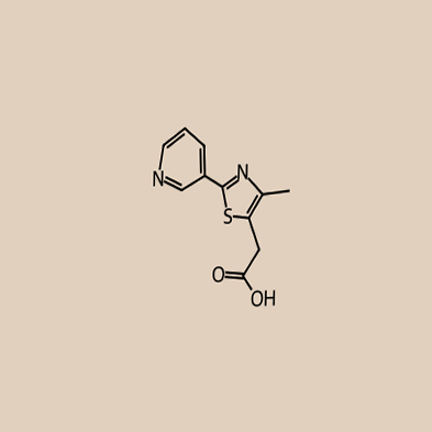 Cc1nc(-c2cccnc2)sc1CC(=O)O